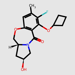 Cc1cc2c(c(OC3CCC3)c1F)C(=O)N1C[C@@H](O)C[C@@H]1CO2